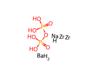 O=P(O)(O)OP(=O)(O)O.[BaH2].[NaH].[Zr].[Zr]